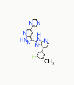 Cc1cc(F)cc(-c2ccnc3[nH]c(-c4n[nH]c5ncc(-c6cnccn6)cc45)nc23)c1